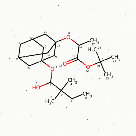 CCC(C)(C)C(O)OC12CC3CC(CC(OC(C)C(=O)OC(C)(C)C)(C3)C1)C2